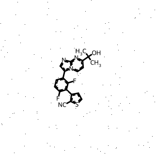 CC(C)(O)c1ccn2c(-c3ccc(F)c(-c4ccsc4C#N)c3F)cnc2n1